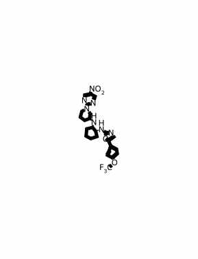 O=[N+]([O-])c1cnc(N2CCC[C@H](N[C@@H]3CCCC[C@H]3Nc3ncc(-c4ccc(OC(F)(F)F)cc4)o3)C2)nc1